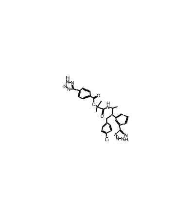 CC(NC(=O)C(C)(C)OC(=O)c1ccc(-c2nn[nH]n2)cc1)C(Cc1ccc(Cl)cc1)c1cccc(-c2nn[nH]n2)c1